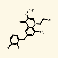 Nc1cc(Cc2cccc(Cl)c2F)cc2c(=O)c(OC(=O)O)cn(CCO)c12